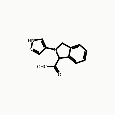 O=CC(=O)C1c2ccccc2CN1c1cn[nH]c1